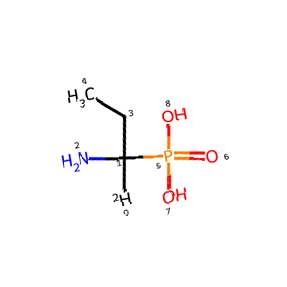 [2H]C(N)(CC)P(=O)(O)O